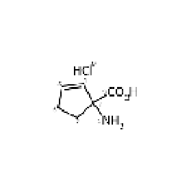 Cl.NC1(C(=O)O)C=CCC1